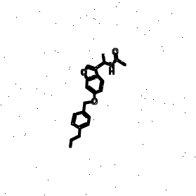 CCCc1ccc(COc2ccc3c(C(C)NC(C)=O)coc3c2)cc1